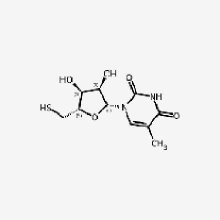 Cc1cn([C@@H]2O[C@H](CS)[C@@H](O)[C@H]2O)c(=O)[nH]c1=O